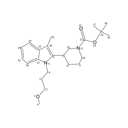 COCCCn1c(C2CCCN(C(=O)OC(C)(C)C)C2)c(C)c2ccccc21